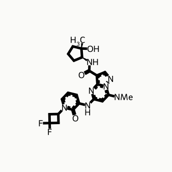 CNc1cc(Nc2cccn(C3CC(F)(F)C3)c2=O)nc2c(C(=O)N[C@H]3CCC[C@]3(C)O)cnn12